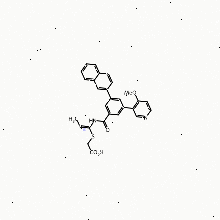 C/N=C(\NC(=O)c1cc(-c2ccc3ccccc3c2)cc(-c2cnccc2OC)c1)SCC(=O)O